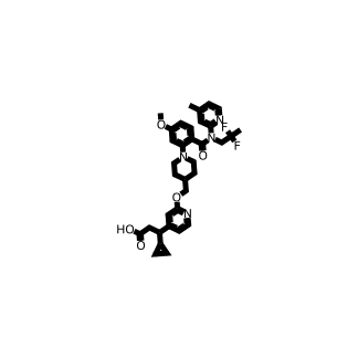 COc1ccc(C(=O)N(CC(C)(F)F)c2cc(C)ccn2)c(N2CCC(COc3cc(C(CC(=O)O)C4CC4)ccn3)CC2)c1